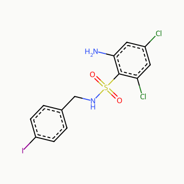 Nc1cc(Cl)cc(Cl)c1S(=O)(=O)NCc1ccc(I)cc1